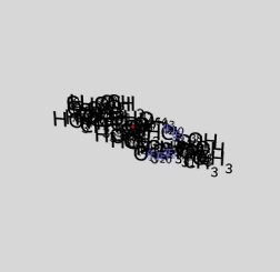 COC[C@@H](CC1O[C@@](O)([C@H](O)C2CC(=O)/C(C)=C/C(C)=C/C(C)=C/[C@@H](C)[C@H](O[C@@H]3O[C@@H](C)[C@H](OC)[C@@H](O)[C@@H]3O)/C=C/C(C)=C/CC[C@H](O)[C@@H](OC)C2)[C@H](C)[C@@H](O)[C@H]1C)O[C@H]1C[C@](C)(O)[C@@H](O[C@H]2C[C@@H](OC)[C@H](O)[C@@H](C)O2)[C@H](C)O1